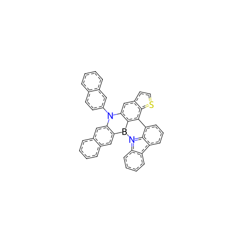 c1ccc2cc(N3c4cc5ccccc5cc4B4c5c3cc3ccsc3c5-c3cccc5c6ccccc6n4c35)ccc2c1